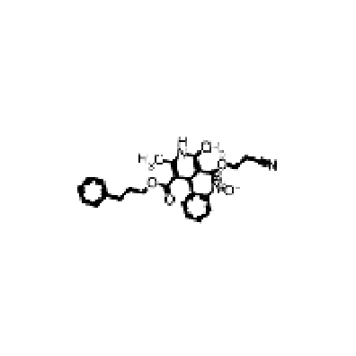 CC1=C(C(=O)OCCC#N)C(c2ccccc2[N+](=O)[O-])C(C(=O)OCCCc2ccccc2)=C(C)N1